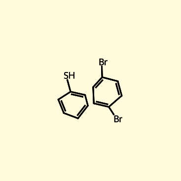 Brc1ccc(Br)cc1.Sc1ccccc1